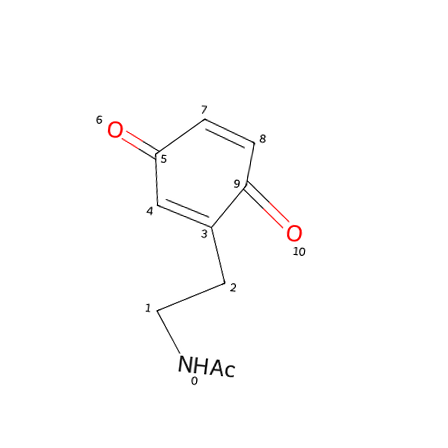 CC(=O)NCCC1=CC(=O)C=CC1=O